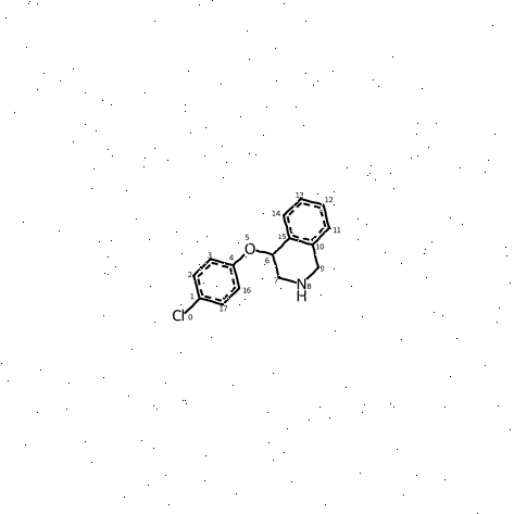 Clc1ccc(OC2CNCc3ccccc32)cc1